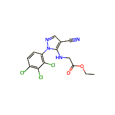 CCOC(=O)CNc1c(C#N)cnn1-c1ccc(Cl)c(Cl)c1Cl